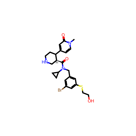 Cn1ccc(C2CCNC[C@@H]2C(=O)N(Cc2cc(Br)cc(SCCO)c2)C2CC2)cc1=O